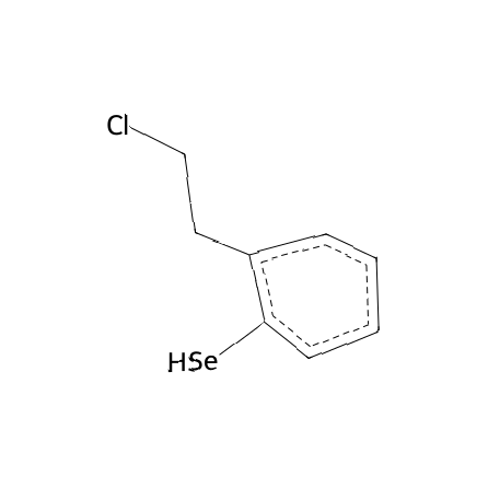 ClCCc1ccccc1[SeH]